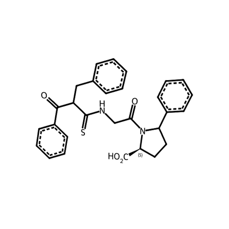 O=C(c1ccccc1)C(Cc1ccccc1)C(=S)NCC(=O)N1C(c2ccccc2)CC[C@H]1C(=O)O